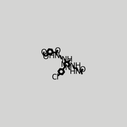 CC(=O)NCCNc1nc(-c2ccc(Cl)cc2)nc(NCCNC(=O)c2ccc3c(c2)OCO3)c1C